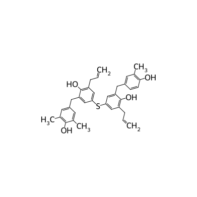 C=CCc1cc(Sc2cc(CC=C)c(O)c(Cc3cc(C)c(O)c(C)c3)c2)cc(Cc2ccc(O)c(C)c2)c1O